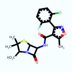 Cc1onc(-c2c(F)cccc2Cl)c1C(=O)NC1C(=O)N2C1SC(C)(C)C2C(=O)O